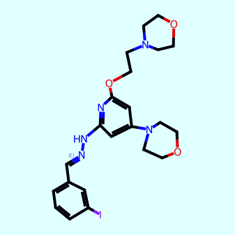 Ic1cccc(/C=N/Nc2cc(N3CCOCC3)cc(OCCN3CCOCC3)n2)c1